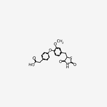 COc1cc(CC2SC(=O)NC2=O)ccc1Oc1ccc(CC(=O)O)cc1